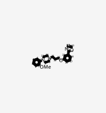 COc1ccccc1N1CCN(CCCOc2cccc(-c3nnco3)c2)CC1